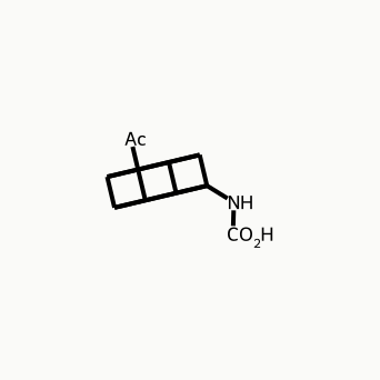 CC(=O)C12C3C4C1C1C2C3C41NC(=O)O